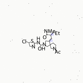 CC/C=C(\C=C1/CN(C(O)NC2=NCC(Cl)S2)CC12CCN(C(C)=O)C2)C(=O)NC